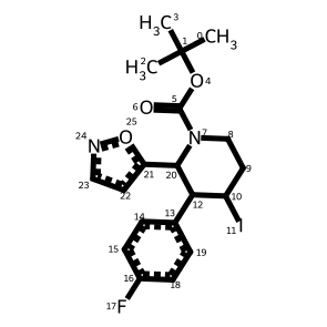 CC(C)(C)OC(=O)N1CCC(I)C(c2ccc(F)cc2)C1c1ccno1